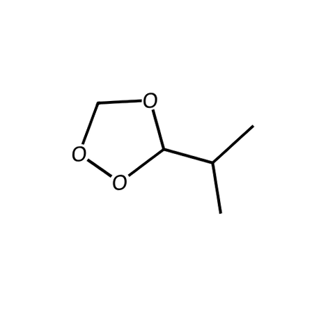 CC(C)C1OCOO1